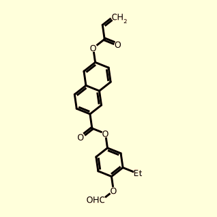 C=CC(=O)Oc1ccc2cc(C(=O)Oc3ccc(OC=O)c(CC)c3)ccc2c1